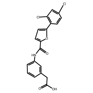 O=C(O)Cc1cccc(NC(=O)c2ccc(-c3ccc(Cl)cc3Cl)o2)c1